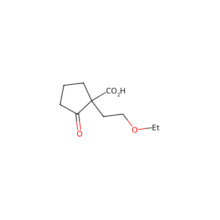 CCOCCC1(C(=O)O)CCCC1=O